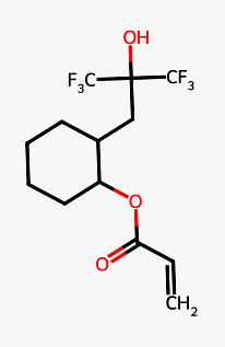 C=CC(=O)OC1CCCCC1CC(O)(C(F)(F)F)C(F)(F)F